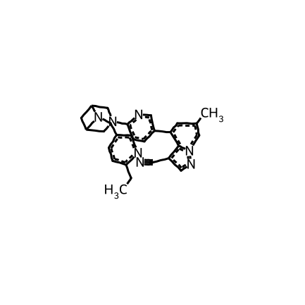 CCc1ccc(CN2C3CC2CN(c2ccc(-c4cc(C)cn5ncc(C#N)c45)cn2)C3)cn1